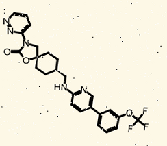 O=C1O[C@]2(CC[C@H](CNc3ccc(-c4cccc(OC(F)(F)F)c4)cn3)CC2)CN1c1cccnn1